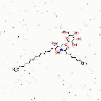 CCCCCCCCCCCCCCC(O)C(N=O)C(COC1OC(CO)C(O)C(O)C1O)NC(=O)CCCCCCC